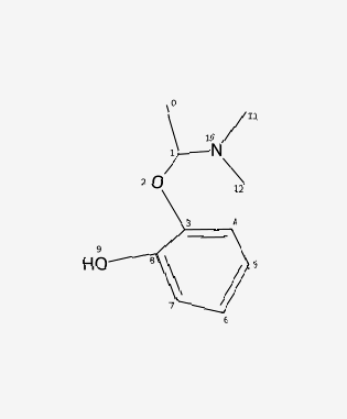 CC(Oc1c[c]ccc1O)N(C)C